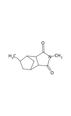 CC1CC2CC1C1C(=O)N(C)C(=O)C21